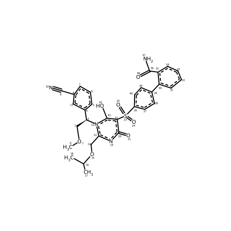 COC[C@@H](c1cccc(C#N)c1)n1c(COC(C)C)nc(=O)c(S(=O)(=O)c2ccc(-c3ccccc3C(N)=O)cc2)c1O